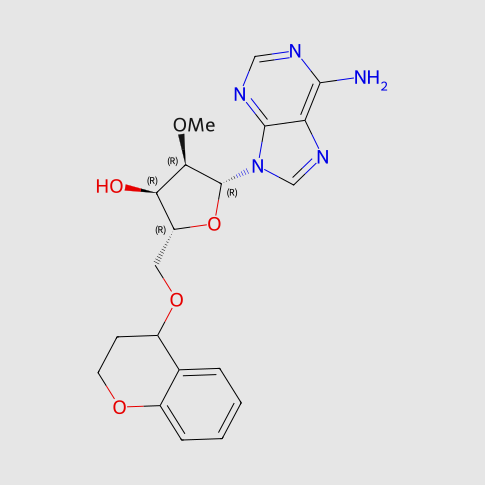 CO[C@@H]1[C@H](O)[C@@H](COC2CCOc3ccccc32)O[C@H]1n1cnc2c(N)ncnc21